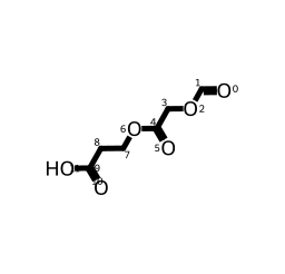 O=COCC(=O)OCCC(=O)O